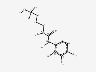 CO[Si](C)(C)CCCN(F)C(=O)N(F)c1ccc(F)c(F)c1F